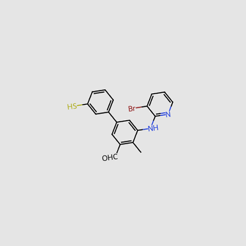 Cc1c(C=O)cc(-c2cccc(S)c2)cc1Nc1ncccc1Br